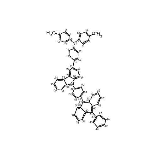 Cc1ccc(N(c2ccc(C)cc2)c2ccc(-c3ccc4c(c3)c3ccccc3n4-c3ccc(-c4c5ccccc5c(-c5ccccc5)c5ccccc45)cc3)cc2)cc1